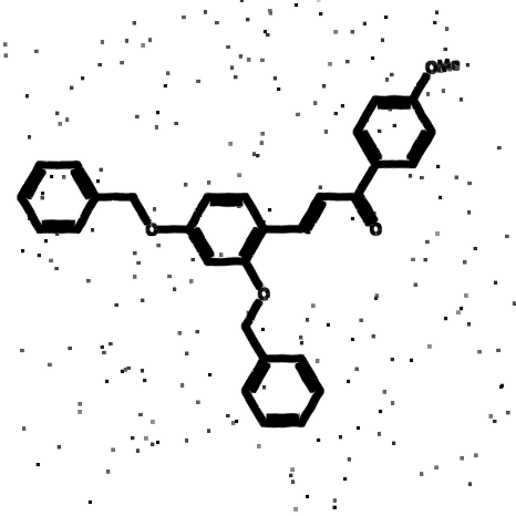 COc1ccc(C(=O)C=Cc2ccc(OCc3ccccc3)cc2OCc2ccccc2)cc1